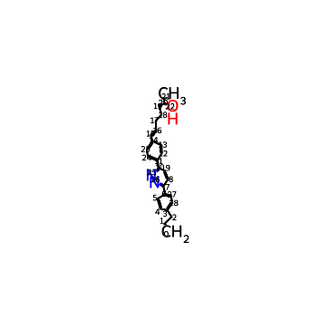 C=CCc1ccc(-c2ccc(-c3ccc(/C=C/CCCC(C)O)cc3)nn2)cc1